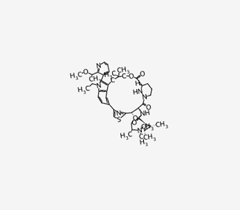 CCn1c(-c2cccnc2[C@H](C)OC)c2c3cc(ccc31)-c1csc(n1)[C@@H](OCC(C)N(C)C)[C@H](NC(=O)[C@H]1[C@H](C)[C@@H]1C)C(=O)N1CCC[C@H](N1)C(=O)OCC(C)(C)C2